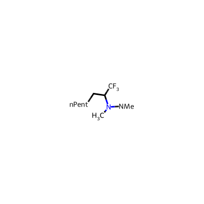 CCCCCCC(N(C)NC)C(F)(F)F